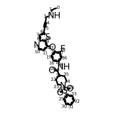 CCNCC#Cc1cc2nccc(Oc3ccc(NC(=O)C4CCN(S(=O)(=O)c5ccccc5)CC4)cc3F)c2s1